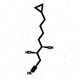 C#CC[C@@H](O)[C@H](O)CCCCC1CC1